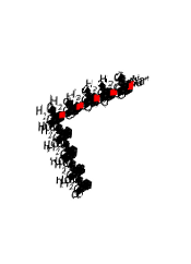 C=CCc1ccccc1S(=O)(=O)O.C=CCc1ccccc1S(=O)(=O)O.C=CCc1ccccc1S(=O)(=O)O.C=CCc1ccccc1S(=O)(=O)O.C=CCc1ccccc1S(=O)(=O)O.C=CCc1ccccc1S(=O)(=O)O.C=CCc1ccccc1S(=O)(=O)O.C=CCc1ccccc1S(=O)(=O)[O-].C=CCc1ccccc1S(=O)(=O)[O-].[Na+].[Na+]